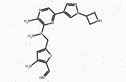 N=Cc1sc(CN(N)c2nc(-c3cnn(C4CNC4)c3)cnc2N)cc1N